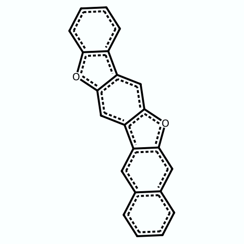 c1ccc2cc3c(cc2c1)oc1cc2c(cc13)oc1ccccc12